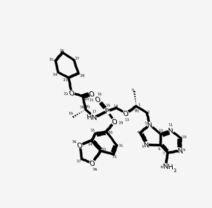 C[C@H](Cn1cnc2c(N)ncnc21)OCP(=O)(N[C@H](C)C(=O)OC1CCCCC1)Oc1ccc2c(c1)OCO2